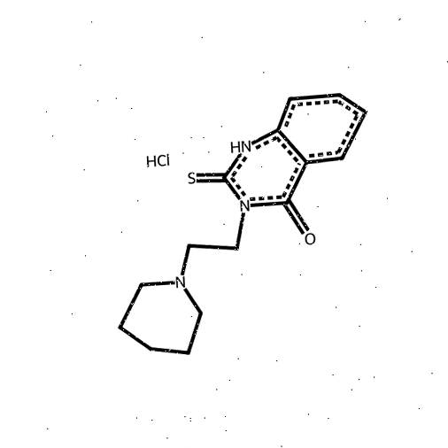 Cl.O=c1c2ccccc2[nH]c(=S)n1CCN1CCCCC1